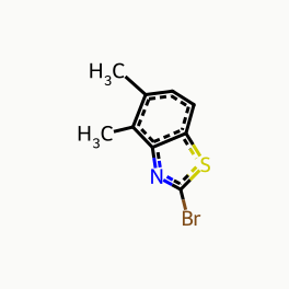 Cc1ccc2sc(Br)nc2c1C